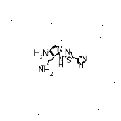 NCCCCc1c(N)ccnc1Nc1ncc(-c2cncnc2)s1